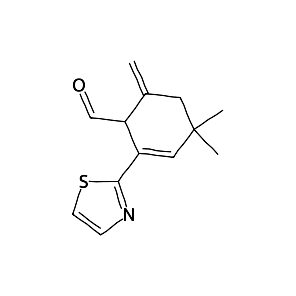 C=C1CC(C)(C)C=C(c2nccs2)C1C=O